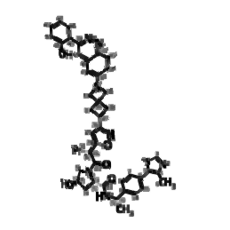 Cc1ncsc1-c1ccc([C@H](C)NC(=O)[C@@H]2C[C@@H](O)CN2C(=O)[C@@H](c2cc(C3CC4(C3)CN(c3ccc5nnc(-c6ccccc6O)cc5c3)C4)no2)C(C)C)cc1